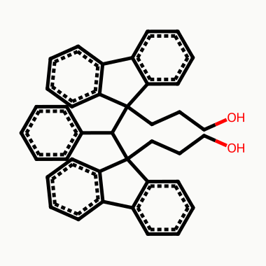 OCCCC1(C(c2ccccc2)C2(CCCO)c3ccccc3-c3ccccc32)c2ccccc2-c2ccccc21